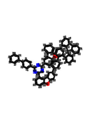 c1ccc(-c2ccc(-c3nc(-c4ccc5oc6ccccc6c5c4)nc(-c4cccc5oc6ccc(-c7ccc(-c8cccc9c8-c8ccccc8C98c9ccccc9-c9ccccc98)cc7)cc6c45)n3)cc2)cc1